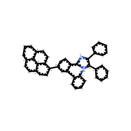 c1ccc(-c2nc3c4ccc(-c5ccc6ccc7cccc8ccc5c6c78)cc4c4ccccc4n3c2-c2ccccc2)cc1